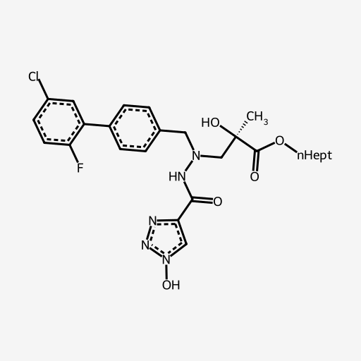 CCCCCCCOC(=O)[C@](C)(O)CN(Cc1ccc(-c2cc(Cl)ccc2F)cc1)NC(=O)c1cn(O)nn1